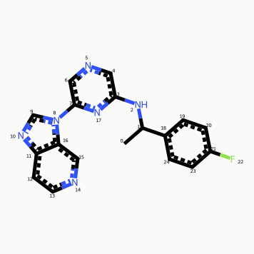 CC(Nc1cncc(-n2cnc3ccncc32)n1)c1ccc(F)cc1